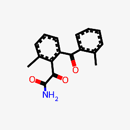 Cc1ccccc1C(=O)c1cccc(C)c1C(=O)C(N)=O